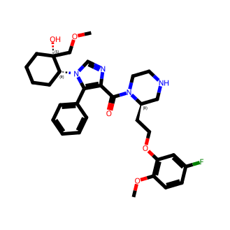 COC[C@]1(O)CCCC[C@H]1n1cnc(C(=O)N2CCNC[C@H]2CCOc2cc(F)ccc2OC)c1-c1ccccc1